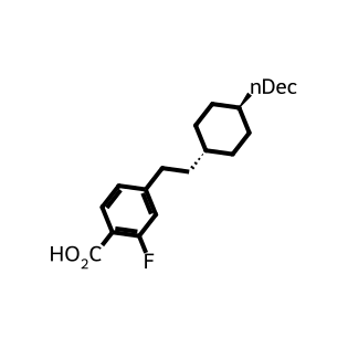 CCCCCCCCCC[C@H]1CC[C@H](CCc2ccc(C(=O)O)c(F)c2)CC1